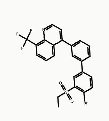 CCS(=O)(=O)c1cc(-c2cccc(-c3ccnc4c(C(F)(F)F)cccc34)c2)ccc1Br